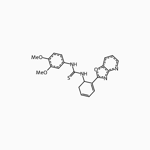 COc1ccc(NC(=S)NC2CC=CC=C2c2nc3ncccc3o2)cc1OC